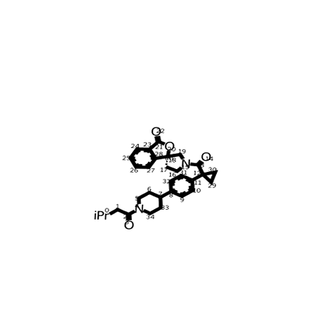 CC(C)CC(=O)N1CCC(c2ccc(C3(C(=O)N4CC[C@@]5(C4)OC(=O)c4ccccc45)CC3)cc2)CC1